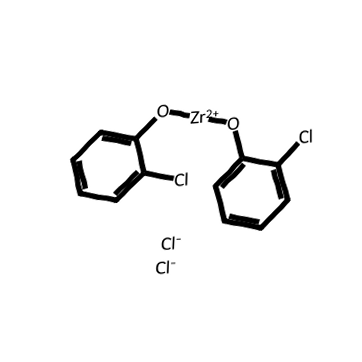 Clc1ccccc1[O][Zr+2][O]c1ccccc1Cl.[Cl-].[Cl-]